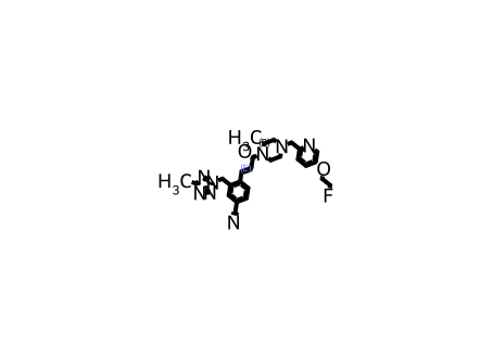 Cc1nnn(Cc2cc(C#N)ccc2/C=C/C(=O)N2CCN(Cc3ccc(OCCF)cn3)C[C@H]2C)n1